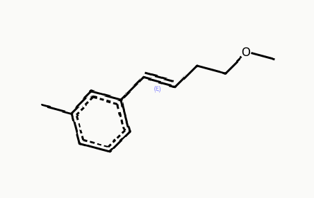 COCC/C=C/c1cccc(C)c1